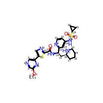 CCOc1cncc(-c2cnc(C(=O)N[C@H](C[C@@H]3CCCCN3)c3cc(NS(=O)(=O)C4CC4)ccn3)s2)n1